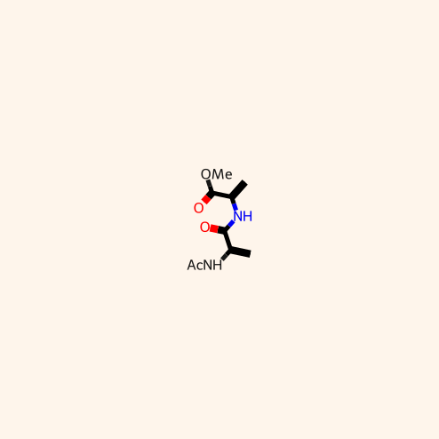 C=C(NC(C)=O)C(=O)NC(=C)C(=O)OC